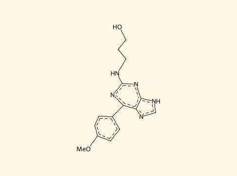 COc1ccc(-c2nc(NCCCO)nc3[nH]cnc23)cc1